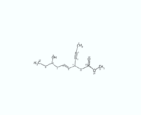 CC#CC(/C=C/CC(O)CC)CC(=O)OC